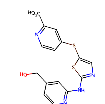 O=C(O)c1cc(Sc2cnc(Nc3cc(CO)ccn3)s2)ccn1